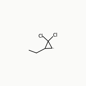 CCC1[CH]C1(Cl)Cl